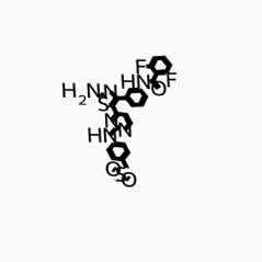 CS(=O)(=O)Cc1ccc(Nc2nccc(-c3sc(N)nc3-c3cccc(NC(=O)c4c(F)cccc4F)c3)n2)cc1